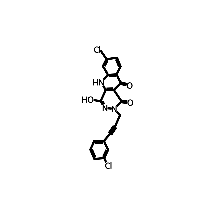 O=c1c2ccc(Cl)cc2[nH]c2c(O)nn(CC#Cc3cccc(Cl)c3)c(=O)c12